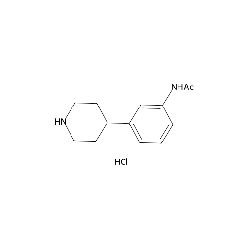 CC(=O)Nc1cccc(C2CCNCC2)c1.Cl